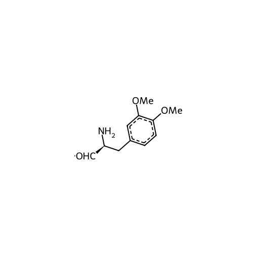 COc1ccc(C[C@H](N)[C]=O)cc1OC